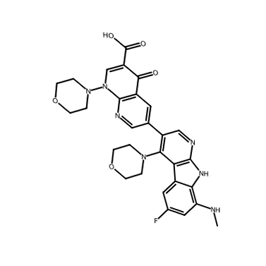 CNc1cc(F)cc2c1[nH]c1ncc(-c3cnc4c(c3)c(=O)c(C(=O)O)cn4N3CCOCC3)c(N3CCOCC3)c12